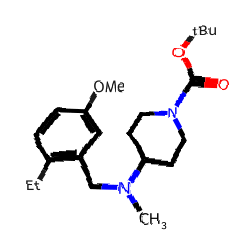 CCc1ccc(OC)cc1CN(C)C1CCN(C(=O)OC(C)(C)C)CC1